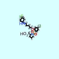 O=C(O)[C@@H]1CCCN1S(=O)(=O)c1ccc(Cl)cc1OCCCCCNC1CCC(F)(F)CC1